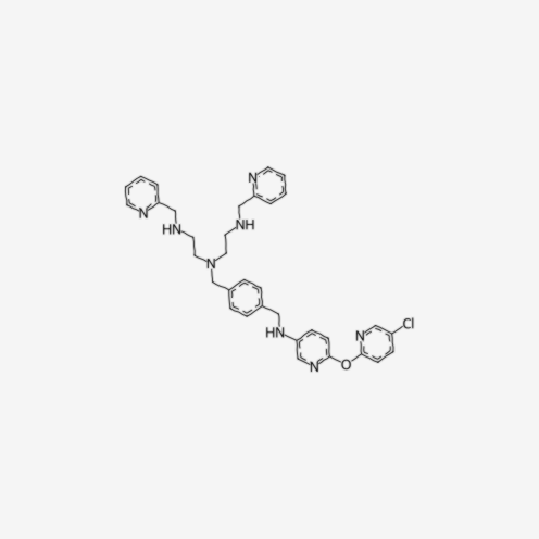 Clc1ccc(Oc2ccc(NCc3ccc(CN(CCNCc4ccccn4)CCNCc4ccccn4)cc3)cn2)nc1